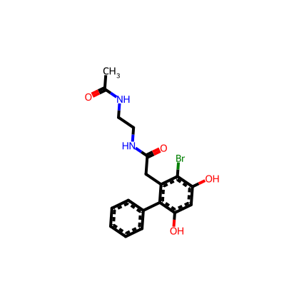 CC(=O)NCCNC(=O)Cc1c(Br)c(O)cc(O)c1-c1ccccc1